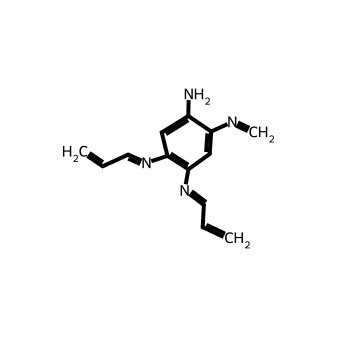 C=CC=Nc1cc(N)c(N=C)cc1N=CC=C